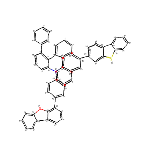 c1ccc(-c2ccccc2-c2c(-c3ccccc3)cccc2N(c2ccc(-c3ccc4c(c3)sc3ccccc34)cc2)c2ccc(-c3cccc4c3oc3ccccc34)cc2)cc1